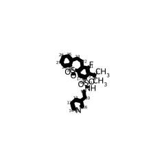 CC(C)c1c(S(=O)(=O)NCCc2cccnc2)cc2c(c1F)CCc1ccccc1S2(=O)=O